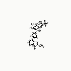 Cc1cc2c(-c3ccc(S(=O)(=O)N(OC(=O)C(F)(F)F)C(C)(C)C)cc3)ccnc2[nH]1